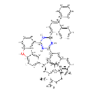 CC1(C)CCC(C)(C)c2cc(-c3ccc4oc5cccc(-c6nc(C7=CCC8C=CC=CC8=C7)nc(-c7ccc(-c8ccccc8)c8ccccc78)n6)c5c4c3)ccc21